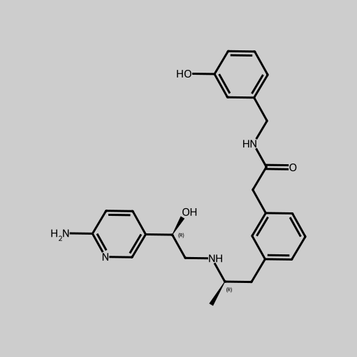 C[C@H](Cc1cccc(CC(=O)NCc2cccc(O)c2)c1)NC[C@H](O)c1ccc(N)nc1